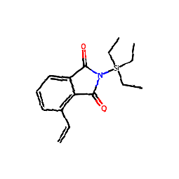 C=Cc1cccc2c1C(=O)N([Si](CC)(CC)CC)C2=O